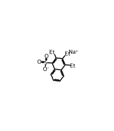 CCc1c(CC)c(S(=O)(=O)[O-])c2ccccc2c1CC.[Na+]